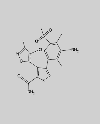 Cc1noc(-c2c(-c3c(C)c(N)c(C)c(S(C)(=O)=O)c3C)csc2C(N)=O)c1Cl